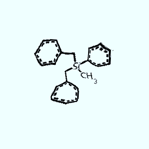 C[Si](Cc1ccccc1)(Cc1ccccc1)c1cc[c]cc1